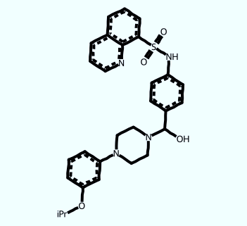 CC(C)Oc1cccc(N2CCN(C(O)c3ccc(NS(=O)(=O)c4cccc5cccnc45)cc3)CC2)c1